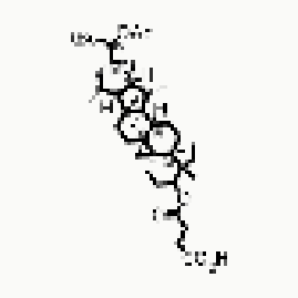 CC(=O)O[C@@H]([C@H]1C[C@@H](C)[C@H]2[C@H](O1)[C@H](C)[C@@]1(C)[C@@H]3CC[C@@H]4C(C)(C)C(OC(=O)CCC(=O)O)CC[C@@]45C[C@@]35CC[C@]21C)C(C)(C)C